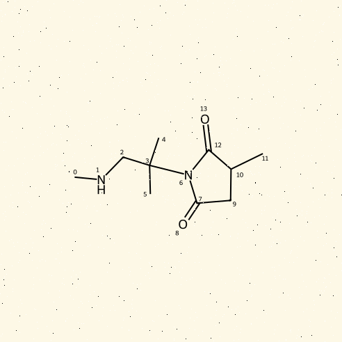 CNCC(C)(C)N1C(=O)CC(C)C1=O